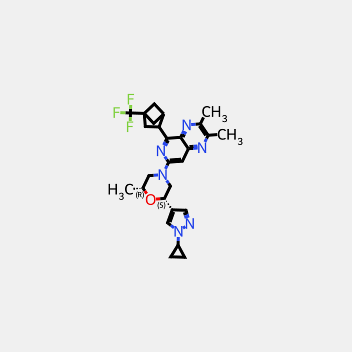 Cc1nc2cc(N3C[C@@H](C)O[C@@H](c4cnn(C5CC5)c4)C3)nc(C3CC4(C(F)(F)F)CC3C4)c2nc1C